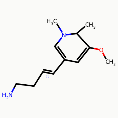 COC1=CC(/C=C/CCN)=CN(C)C1C